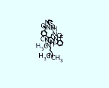 Cc1ccc(C(=O)Nc2nccs2)cc1-c1nc(N(C)CCCN(C)C)nc2c1CNC(=O)N2c1c(F)cccc1F